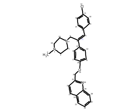 CN1CCN(C/C(=C\c2ccc(Cl)cc2)c2ccc(OCc3ccc4ccccc4n3)cc2)CC1